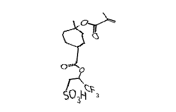 C=C(C)C(=O)OC1(C)CCC(C(=O)OC(CS(=O)(=O)O)C(F)(F)F)CC1